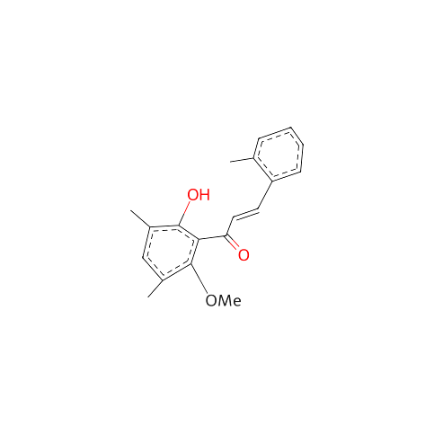 COc1c(C)cc(C)c(O)c1C(=O)/C=C/c1ccccc1C